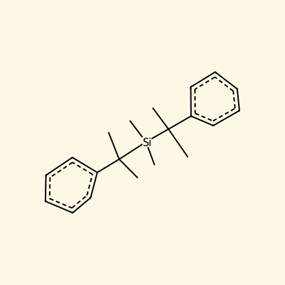 CC(C)(c1ccccc1)[Si](C)(C)C(C)(C)c1ccccc1